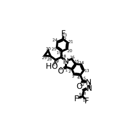 O=C1c2cc(-c3nnc(C(F)F)o3)ccc2CN1C(c1ccc(F)cc1)[C@H](O)C1CC1